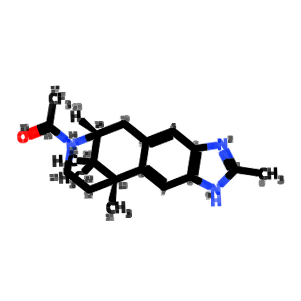 Cc1nc2cc3c(cc2[nH]1)[C@]1(C)CCN(C(=O)C(F)(F)F)[C@H](C3)C1(C)C